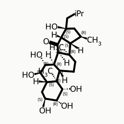 CC(C)C[C@]1(O)C[C@@H](C)[C@H]2[C@@H]1C(=O)[C@@H]1[C@@H]3[C@@H](O)[C@H](O)[C@H]4C[C@H](O)[C@@H](O)[C@@H](O)[C@]4(C)[C@H]3CC[C@]21C